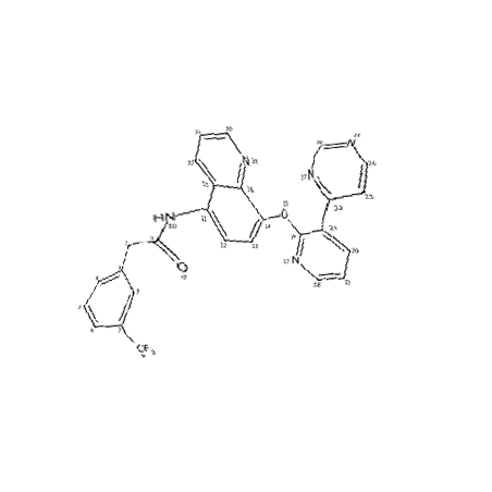 O=C(Cc1cccc(C(F)(F)F)c1)Nc1ccc(Oc2ncccc2-c2ccncn2)c2ncccc12